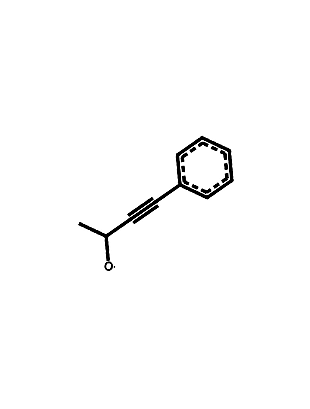 CC([O])C#Cc1ccccc1